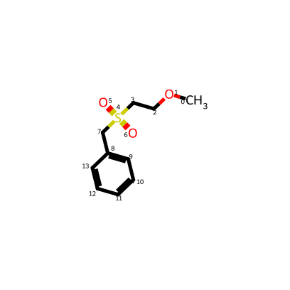 COCCS(=O)(=O)Cc1c[c]ccc1